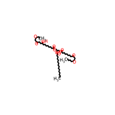 CCCCCCCCCCCCCCCC(=O)OC(COC(=O)CCCCCCCC(O)CCC1OC1CC1OC1CC)COC(=O)CCCCCCCC1OC1CC1OC1CCCCC